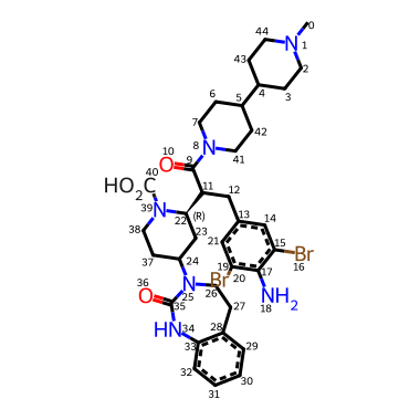 CN1CCC(C2CCN(C(=O)C(Cc3cc(Br)c(N)c(Br)c3)[C@H]3CC(N4CCc5ccccc5NC4=O)CCN3C(=O)O)CC2)CC1